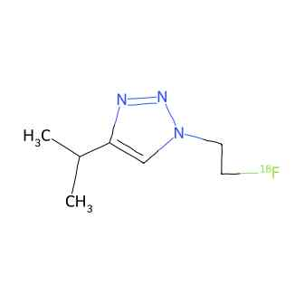 CC(C)c1cn(CC[18F])nn1